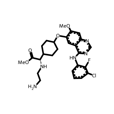 COC(=O)[C@@H](NCCN)C1CCC(Oc2cc3c(Nc4cccc(Cl)c4F)ncnc3cc2OC)CC1